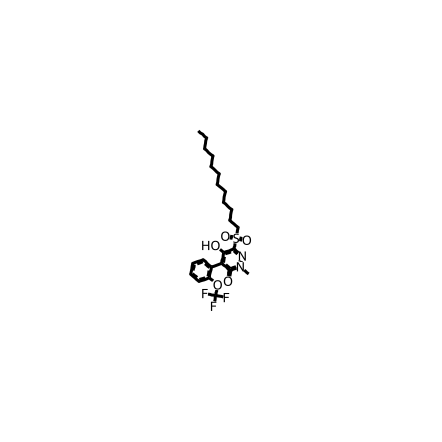 CCCCCCCCCCCCS(=O)(=O)c1nn(C)c(=O)c(-c2ccccc2OC(F)(F)F)c1O